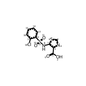 O=C(O)c1ncsc1NS(=O)(=O)c1ccccc1Cl